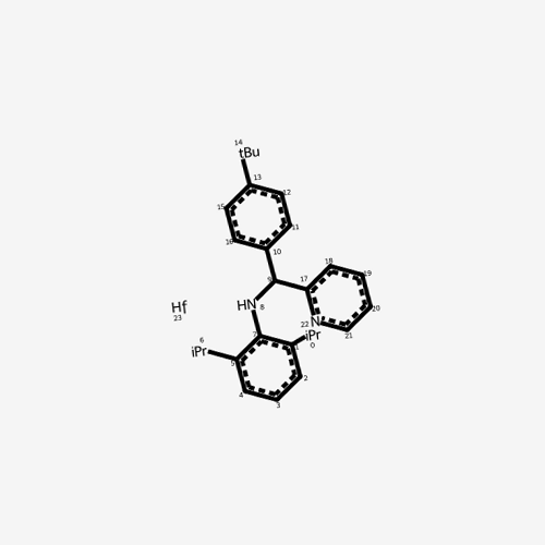 CC(C)c1cccc(C(C)C)c1NC(c1ccc(C(C)(C)C)cc1)c1ccccn1.[Hf]